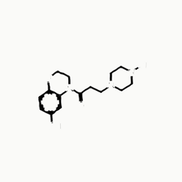 Cc1ccc2c(c1)N(C(=O)CCN1CCN(C)CC1)CCO2